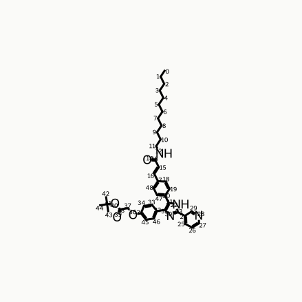 CCCCCCCCCCCCNC(=O)C=Cc1ccc(-c2[nH]c(-c3cccnc3)nc2-c2ccc(OCC(=O)OC(C)(C)C)cc2)cc1